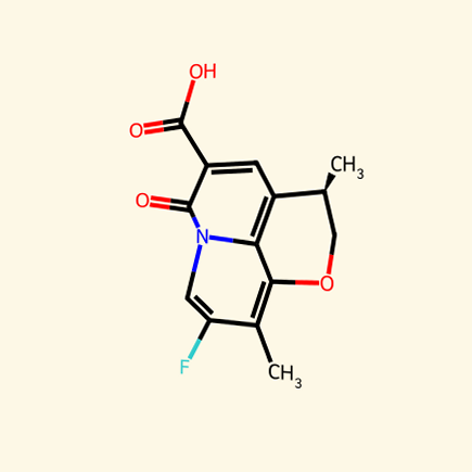 Cc1c(F)cn2c(=O)c(C(=O)O)cc3c2c1OC[C@@H]3C